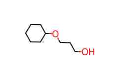 OCCCOC1[CH]CCCC1